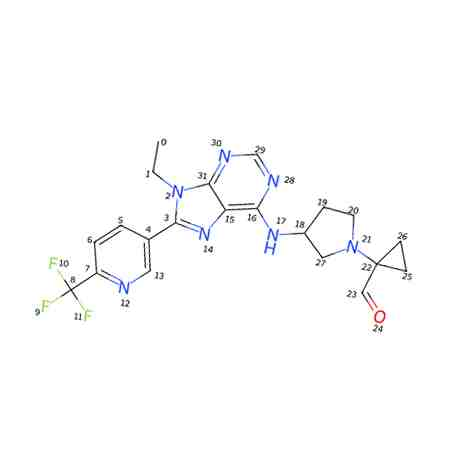 CCn1c(-c2ccc(C(F)(F)F)nc2)nc2c(NC3CCN(C4(C=O)CC4)C3)ncnc21